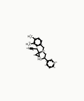 Cc1ccc(CN(CC(O)c2cccnc2)C2(CC#N)CC2)cc1C